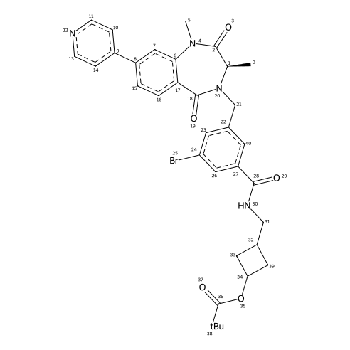 C[C@@H]1C(=O)N(C)c2cc(-c3ccncc3)ccc2C(=O)N1Cc1cc(Br)cc(C(=O)NCC2CC(OC(=O)C(C)(C)C)C2)c1